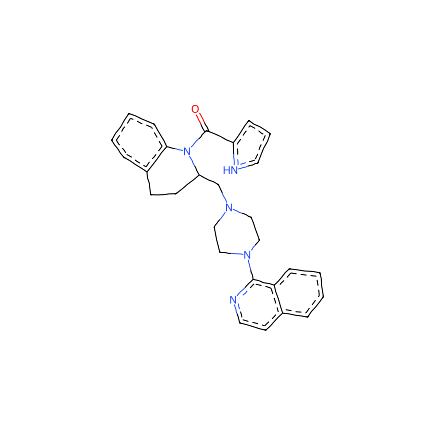 O=C(c1ccc[nH]1)N1c2ccccc2CCC1CN1CCN(c2nccc3ccccc23)CC1